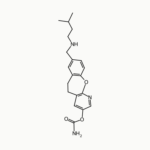 CC(C)CCNCc1ccc2c(c1)CCc1cc(OC(N)=O)cnc1O2